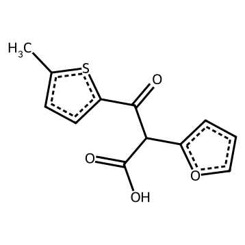 Cc1ccc(C(=O)C(C(=O)O)c2ccco2)s1